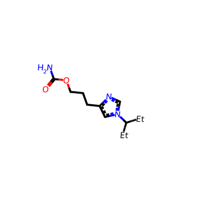 CCC(CC)n1cnc(CCCOC(N)=O)c1